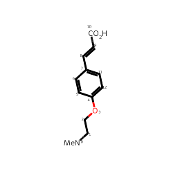 CNCCOc1ccc(C=CC(=O)O)cc1